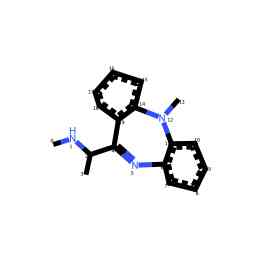 CNC(C)C1=Nc2ccccc2N(C)c2ccccc21